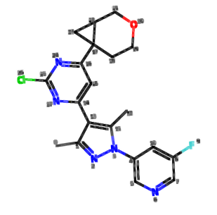 Cc1nn(-c2cncc(F)c2)c(C)c1-c1cc(C23CCOCC2C3)nc(Cl)n1